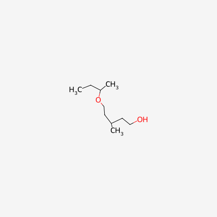 CCC(C)OCCC(C)CCO